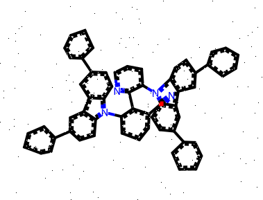 N#Cc1cccc(-n2c3ccc(-c4ccccc4)cc3c3cc(-c4ccccc4)ccc32)c1-c1ncccc1-n1c2ccc(-c3ccccc3)cc2c2cc(-c3ccccc3)ccc21